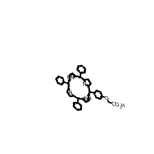 O=C(O)COc1ccc(-c2c3nc(c(-c4ccccc4)c4ccc([nH]4)c(-c4ccccc4)c4nc(c(-c5ccccc5)c5ccc2[nH]5)C=C4)C=C3)cc1